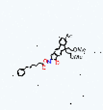 COCCC1(CCOC)c2cc(C(C)=O)ccc2-c2cc3c(cc21)C(=O)/C(=N/OC(=O)CCCCCc1ccccc1)C3